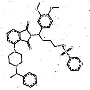 COc1ccc(C(CCCNS(=O)(=O)c2cccnc2)N2C(=O)c3cccc(N4CCN([C@H](C)c5ccccc5)CC4)c3C2=O)cc1OC